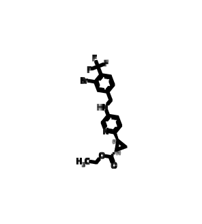 CCOC(=O)[C@H]1C[C@@H]1c1ccc(NCc2ccc(C(F)(F)F)c(Br)c2)cn1